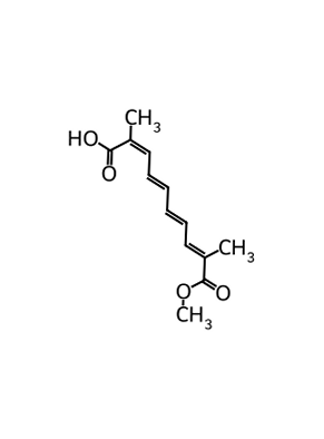 COC(=O)C(C)=CC=CC=CC=C(C)C(=O)O